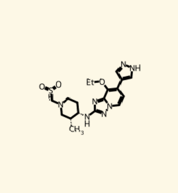 CCOc1c(-c2cn[nH]c2)ccn2nc(N[C@H]3CCN(C[SH](=O)=O)C[C@H]3C)nc12